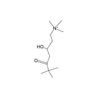 CC(C)(C)C(=O)CC(O)CC[N+](C)(C)C